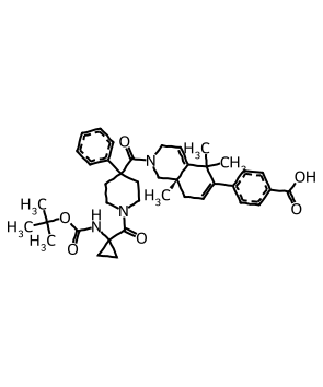 CC(C)(C)OC(=O)NC1(C(=O)N2CCC(C(=O)N3CC=C4C(C)(C)C(c5ccc(C(=O)O)cc5)=CC[C@]4(C)C3)(c3ccccc3)CC2)CC1